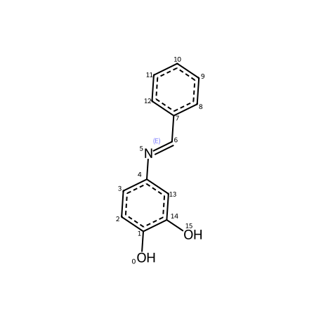 Oc1ccc(/N=C/c2ccccc2)cc1O